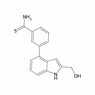 NC(=S)c1cccc(-c2cccc3[nH]c(CO)cc23)c1